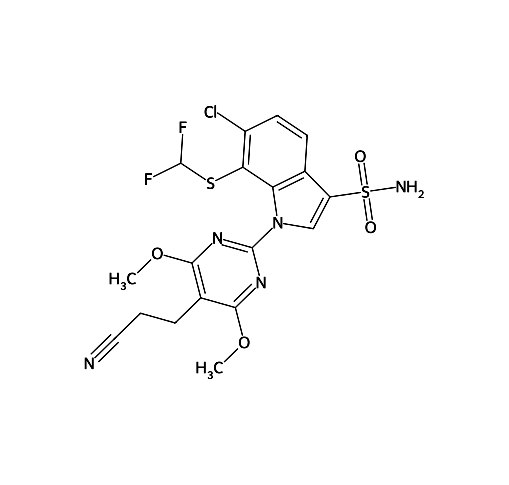 COc1nc(-n2cc(S(N)(=O)=O)c3ccc(Cl)c(SC(F)F)c32)nc(OC)c1CCC#N